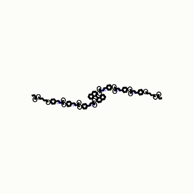 C=CC(=O)OCCCCOc1ccc(/C=C/C(=O)Oc2ccc(/C=C/C(=O)Oc3ccc(/C=C/C(=O)Oc4ccc5ccccc5c4-c4c(OC(=O)/C=C/c5ccc(OC(=O)/C=C/c6ccc(OC(=O)/C=C/c7ccc(OCCCCOC(=O)C=C)cc7)cc6)cc5)ccc5ccccc45)cc3)cc2)cc1